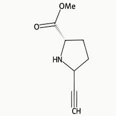 C#CC1CC[C@@H](C(=O)OC)N1